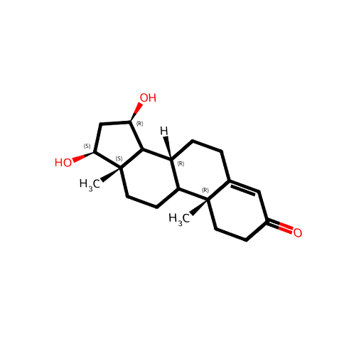 C[C@]12CCC(=O)C=C1CC[C@@H]1C2CC[C@@]2(C)C1[C@H](O)C[C@@H]2O